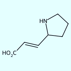 O=C(O)/C=C/C1CCCN1